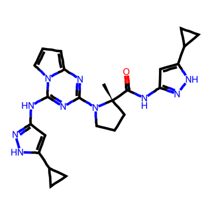 C[C@@]1(C(=O)Nc2cc(C3CC3)[nH]n2)CCCN1c1nc(Nc2cc(C3CC3)[nH]n2)n2cccc2n1